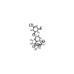 CS(=O)(=O)c1ccc(Oc2cc(F)cc(Cl)c2)c2c1C1(CC2)OCCO1